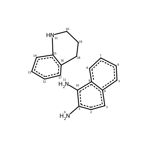 Nc1ccc2ccccc2c1N.c1ccc2c(c1)CCCN2